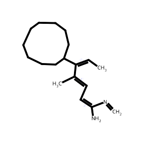 C=N\C(N)=C/C=C(C)/C(=C\C)C1CCCCCCCCC1